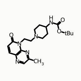 Cc1cnc2ccc(=O)n(CCN3CCC(NC(=O)OC(C)(C)C)CC3)c2n1